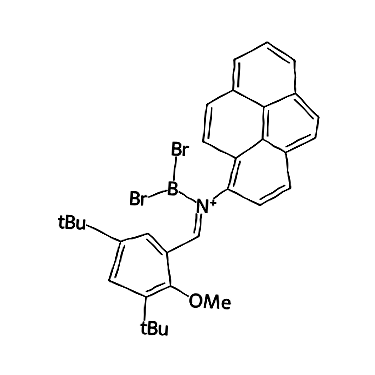 COc1c(/C=[N+](\B(Br)Br)c2ccc3ccc4cccc5ccc2c3c45)cc(C(C)(C)C)cc1C(C)(C)C